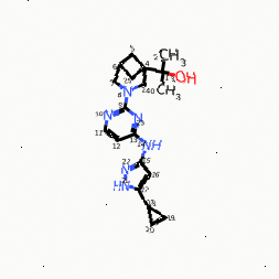 CC(C)(O)C12CC(CN(c3nccc(Nc4cc(C5CC5)[nH]n4)n3)C1)C2